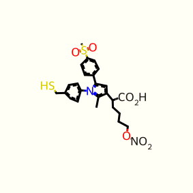 Cc1c(C(CCCCO[N+](=O)[O-])C(=O)O)cc(-c2ccc(S(C)(=O)=O)cc2)n1-c1ccc(CS)cc1